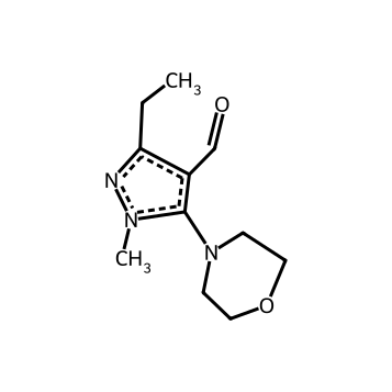 CCc1nn(C)c(N2CCOCC2)c1C=O